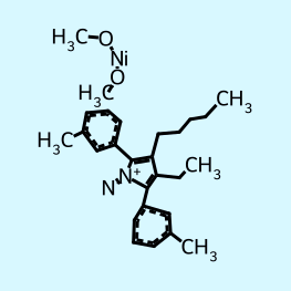 CCCCCC1=C(c2cccc(C)c2)[N+](=[N-])C(c2cccc(C)c2)=C1CC.C[O][Ni][O]C